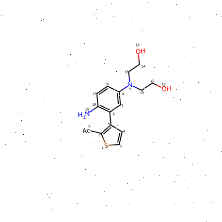 CC(=O)c1sccc1-c1cc(N(CCO)CCO)ccc1N